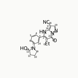 CCc1c(-c2cccc(N3CCCC3O)c2)[nH]c2c(C#N)cnn2c1=O